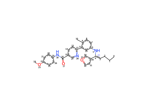 CCC/C=C(\Nc1ccc(C)c(-c2ccc(C(=O)Nc3ccc(OC)cc3)cn2)c1)c1ccoc1